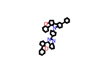 c1ccc(-c2ccc3c(c2)c2ccc4oc5ccccc5c4c2n3-c2ccc(-c3nc(-c4cccc5c4oc4ccccc45)c4ccccc4n3)cc2)cc1